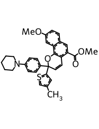 COC(=O)c1cc2ccc(OC)cc2c2c1C=CC(c1ccc(N3CCCCC3)cc1)(c1cc(C)cs1)O2